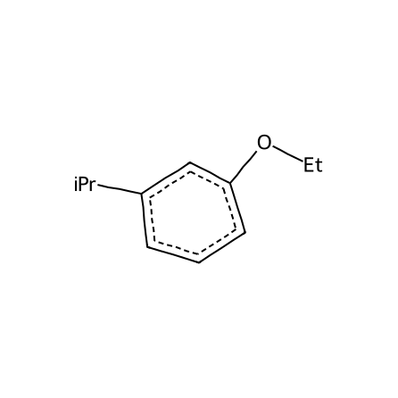 [CH2]COc1cccc(C(C)C)c1